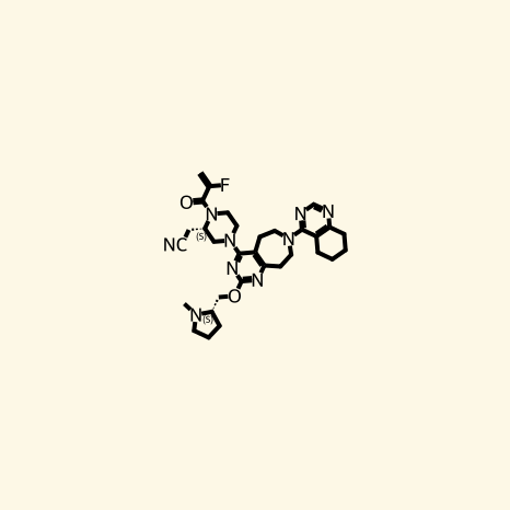 C=C(F)C(=O)N1CCN(c2nc(OC[C@@H]3CCCN3C)nc3c2CCN(c2ncnc4c2CCCC4)CC3)C[C@@H]1CC#N